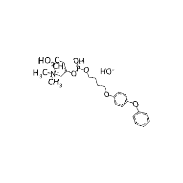 C[N+](C)(C)CC(CC(=O)O)O[P@@](O)OCCCCOc1ccc(Oc2ccccc2)cc1.[OH-]